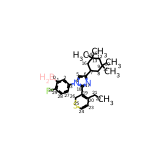 Bc1cc(-n2cc(C3CC(C)(C)CC(C)(C)C3)nc2C2=C(CC)C=CSC2)ccc1F